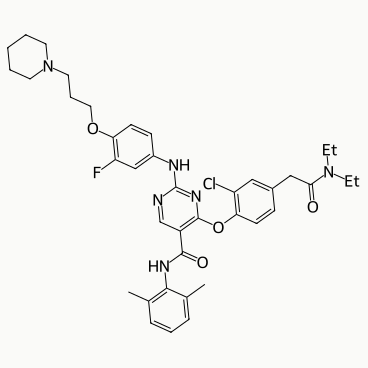 CCN(CC)C(=O)Cc1ccc(Oc2nc(Nc3ccc(OCCCN4CCCCC4)c(F)c3)ncc2C(=O)Nc2c(C)cccc2C)c(Cl)c1